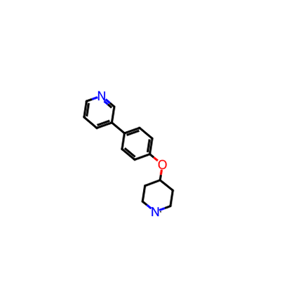 c1cncc(-c2ccc(OC3CC[N]CC3)cc2)c1